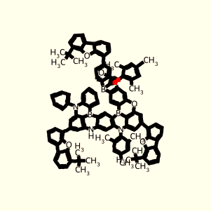 Cc1cc(C)c(N2c3cc4c(cc3B3c5cc6c(cc5Oc5cc(-c7cccc8c7oc7c(C(C)(C)C)cccc78)cc2c53)N(c2c(C)cc(C)cc2C)c2cc(-c3cccc5c3oc3c(C(C)(C)C)cccc35)cc3c2B6c2ccccc2O3)B2c3ccccc3N(c3ccccc3)c3cc(-c5cccc6c5oc5c(C(C)(C)C)cccc56)cc(c32)N4)c(C)c1